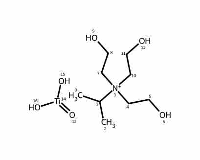 CC(C)[N+](CCO)(CCO)CCO.[O]=[Ti]([OH])[OH]